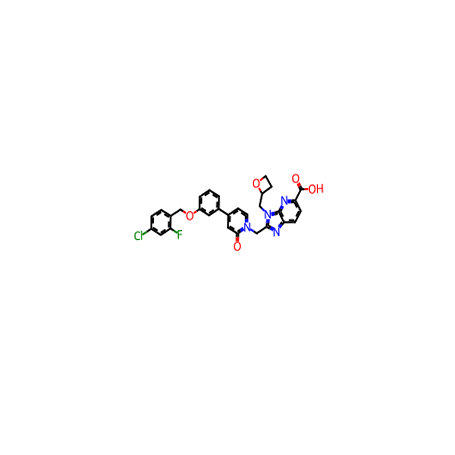 O=C(O)c1ccc2nc(Cn3ccc(-c4cccc(OCc5ccc(Cl)cc5F)c4)cc3=O)n(CC3CCO3)c2n1